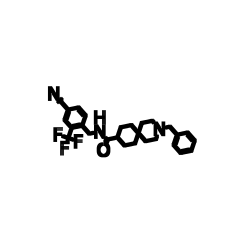 N#Cc1ccc(CNC(=O)C2CCC3(CC2)CCN(Cc2ccccc2)CC3)c(C(F)(F)F)c1